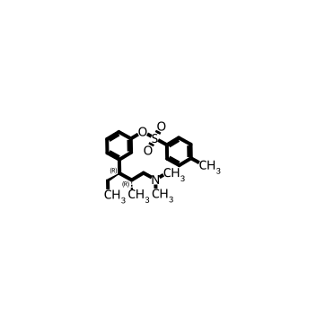 CC[C@@H](c1cccc(OS(=O)(=O)c2ccc(C)cc2)c1)[C@@H](C)CN(C)C